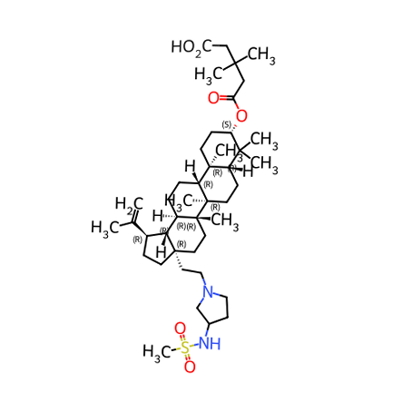 C=C(C)[C@@H]1CC[C@]2(CCN3CCC(NS(C)(=O)=O)C3)CC[C@]3(C)[C@H](CC[C@@H]4[C@@]5(C)CC[C@H](OC(=O)CC(C)(C)CC(=O)O)C(C)(C)[C@@H]5CC[C@]43C)[C@@H]12